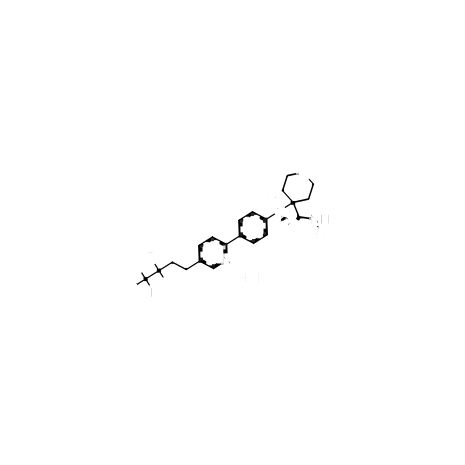 Cl.O=C(NO)C1(S(=O)(=O)c2ccc(-c3ccc(CCC(F)(F)C(F)(F)F)cn3)cc2)CCOCC1